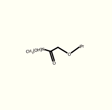 CC(C)OCC(=O)N(C)O